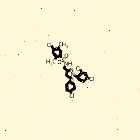 Cc1cc(S(=O)(=O)NCC2=NN(c3ccc(Cl)cc3Cl)[C@H](c3ccc(Cl)cc3)C2)c(C)cc1Cl